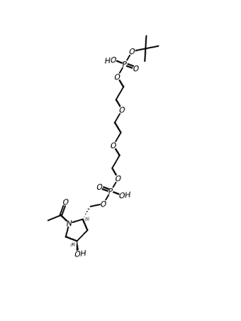 CC(=O)N1C[C@H](O)C[C@H]1COP(=O)(O)OCCOCCOCCOP(=O)(O)OC(C)(C)C